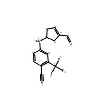 N#Cc1ccc([AsH]C2CC=C(C=O)C2)cc1C(F)(F)F